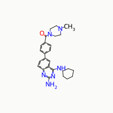 CN1CCN(C(=O)c2ccc(-c3ccc4nc(N)nc(NC5CCCCC5)c4c3)cc2)CC1